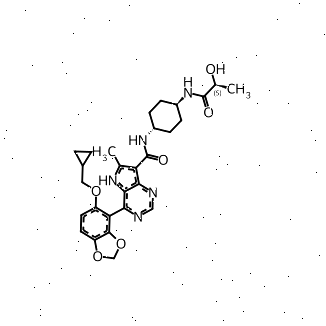 Cc1[nH]c2c(-c3c(OCC4CC4)ccc4c3OCO4)ncnc2c1C(=O)N[C@H]1CC[C@H](NC(=O)[C@H](C)O)CC1